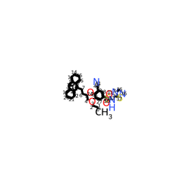 CCCOCC(CCC12CCC(c3ccccc31)c1ccccc12)Oc1ccc(S(=O)(=O)Nc2ncns2)cc1C#N